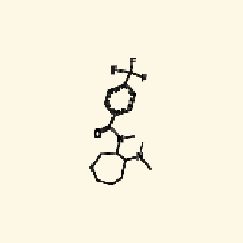 CN(C)C1CCCCCC1N(C)C(=O)c1ccc(C(F)(F)F)cc1